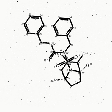 CS(=O)(=O)N1[C@H]2CC[C@@H]1C(F)C(N(Cc1ccccc1)C(=O)OCc1ccccc1)C2